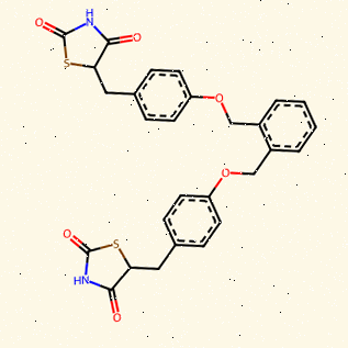 O=C1NC(=O)C(Cc2ccc(OCc3ccccc3COc3ccc(CC4SC(=O)NC4=O)cc3)cc2)S1